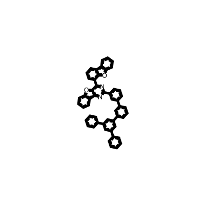 c1ccc(-c2cc(-c3ccccc3)cc(-c3cccc(-c4cccc(-c5nc(-c6cccc7c6oc6ccccc67)c6oc7ccccc7c6n5)c4)c3)c2)cc1